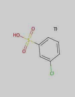 O=S(=O)(O)c1cccc(Cl)c1.[Tl]